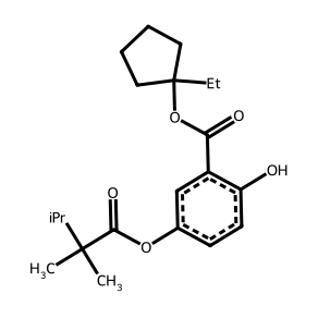 CCC1(OC(=O)c2cc(OC(=O)C(C)(C)C(C)C)ccc2O)CCCC1